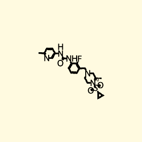 Cc1ccc(NC(=O)Nc2cccc(CN3CCN(S(=O)(=O)C4CC4)[C@H](C)C3)c2F)cn1